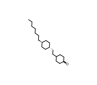 CCCCCCC[C@H]1CC[C@H](CCC2CCC(=O)CC2)CC1